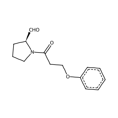 O=C[C@@H]1CCCN1C(=O)CCOc1ccccc1